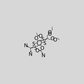 CCOOCC(COOCC)=C1Sc2c(OC(C)=O)c3c(c(OC(=O)C#N)c2S1)SC(=C(C#N)C#N)S3